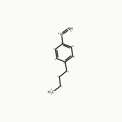 CCCCc1ccc(N=N)cc1